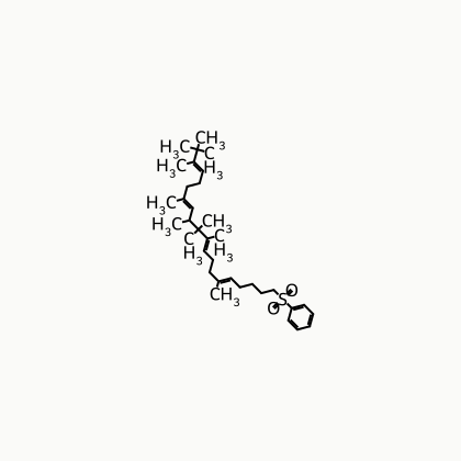 C/C(=C\CCCCS(=O)(=O)c1ccccc1)CC/C=C(\C)C(C)(C)C(C)/C=C(\C)CC/C=C(\C)C(C)(C)C